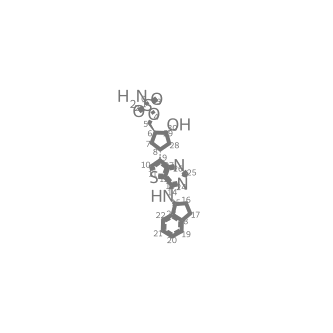 NS(=O)(=O)OC[C@@H]1C[C@@H](c2csc3c(NC4CCc5ccccc54)ncnc23)C[C@@H]1O